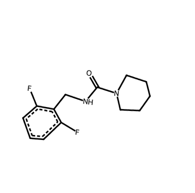 O=C(NCc1c(F)cccc1F)N1CCCCC1